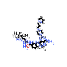 Cc1ccc(C(=O)N/C(N)=C/C(=N)C(C)(C)C)cc1Nc1ncnc2c(N)nc(N3CCN(CCCN4CCCC4)CC3)nc12